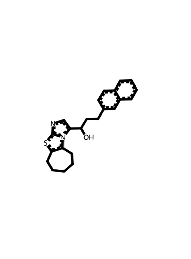 OC(CCc1ccc2ccccc2c1)c1cnc2sc3c(n12)CCCCC3